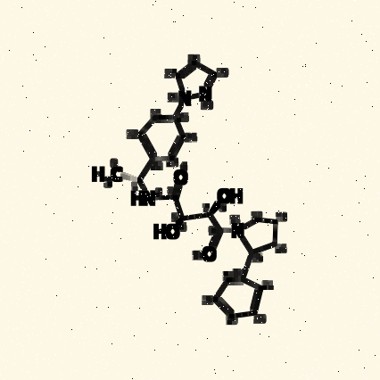 C[C@@H](NC(=O)[C@H](O)[C@@H](O)C(=O)N1CCCC1c1ccccc1)c1ccc(-n2cccn2)cc1